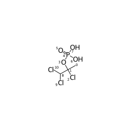 CC(Cl)(OP(=O)(O)O)C(Cl)Cl